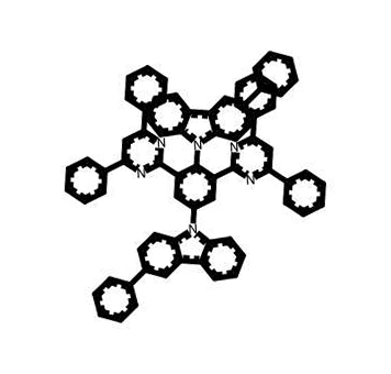 c1ccc(-c2ccc3c(c2)c2ccccc2n3-c2cc(-c3nc(-c4ccccc4)cc(-c4ccccc4)n3)c(-n3c4ccccc4c4cc(-c5ccccc5)ccc43)c(-c3nc(-c4ccccc4)cc(-c4ccccc4)n3)c2)cc1